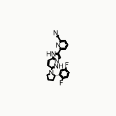 N#Cc1cccc(-c2cnc(/C=C\C(=N)N3CCC[C@H]3c3cc(F)ccc3F)[nH]2)n1